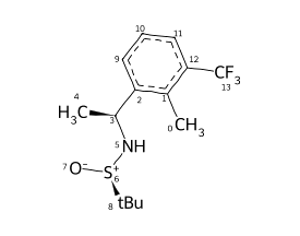 Cc1c([C@H](C)N[S@+]([O-])C(C)(C)C)cccc1C(F)(F)F